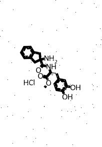 COC(=O)[C@@H](Cc1ccc(O)c(O)c1)NC(=O)C1(N)Cc2ccccc2C1.Cl